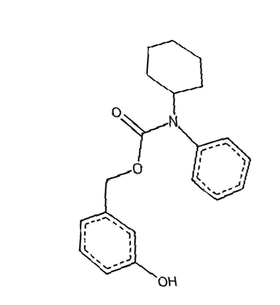 O=C(OCc1cccc(O)c1)N(c1ccccc1)C1CCCCC1